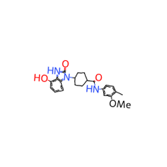 COc1cc(NC(=O)C2CCC(n3c(=O)[nH]c4c(O)cccc43)CC2)ccc1C